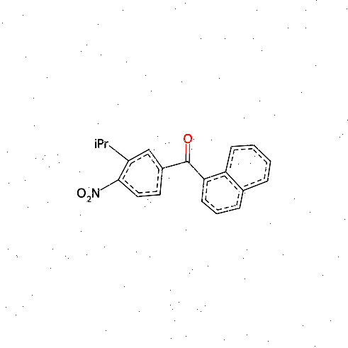 CC(C)c1cc(C(=O)c2cccc3ccccc23)ccc1[N+](=O)[O-]